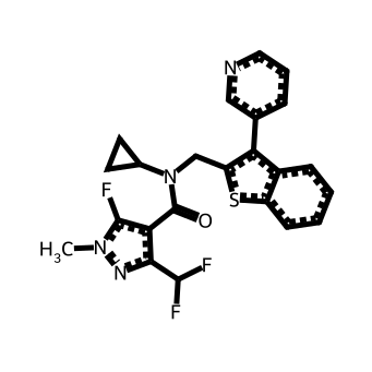 Cn1nc(C(F)F)c(C(=O)N(Cc2sc3ccccc3c2-c2cccnc2)C2CC2)c1F